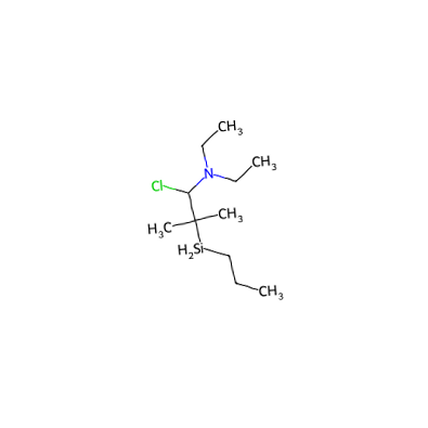 CCC[SiH2]C(C)(C)C(Cl)N(CC)CC